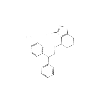 Br.Oc1noc2c1C(NCC(c1ccccc1)c1ccccc1)CCC2